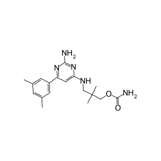 Cc1cc(C)cc(-c2cc(NCC(C)(C)COC(N)=O)nc(N)n2)c1